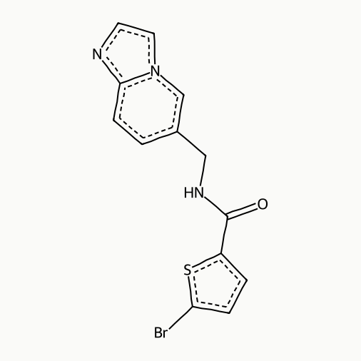 O=C(NCc1ccc2nccn2c1)c1ccc(Br)s1